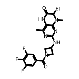 CCC1C(=O)Nc2c(C)nc(NC3CN(C(=O)c4cc(F)c(F)c(F)c4)C3)nc2N1C